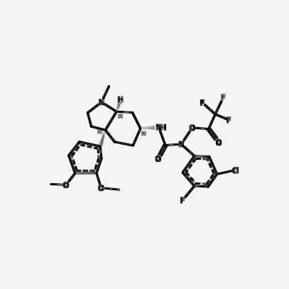 COc1ccc([C@@]23CC[C@@H](NC(=O)N(OC(=O)C(F)(F)F)c4cc(F)cc(Cl)c4)C[C@@H]2N(C)CC3)cc1OC